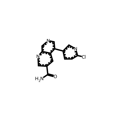 NC(=O)c1cnc2cncc(-c3ccc(Cl)nc3)c2c1